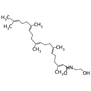 CC(C)=CCCC(C)=CCCC(C)=CCCC(C)=CCCC(C)=CC(=O)NCCO